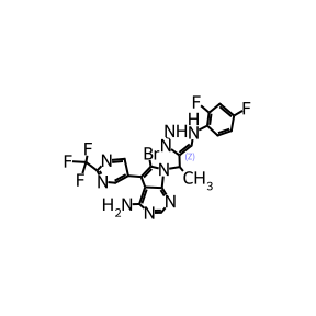 CC(/C(=C/Nc1ccc(F)cc1F)N=N)n1c(Br)c(-c2cnc(C(F)(F)F)nc2)c2c(N)ncnc21